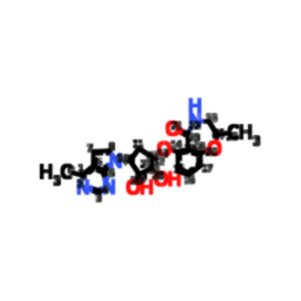 Cc1ncnc2c1ccn2[C@@H]1C[C@H](Oc2cccc3c2C(=O)NC[C@@H](C)O3)[C@@H](O)[C@H]1O